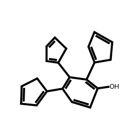 Oc1ccc(C2=CC=CC2)c(C2=CC=CC2)c1C1=CC=CC1